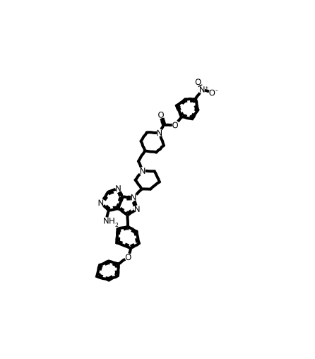 Nc1ncnc2c1c(-c1ccc(Oc3ccccc3)cc1)nn2C1CCCN(CC2CCN(C(=O)Oc3ccc([N+](=O)[O-])cc3)CC2)C1